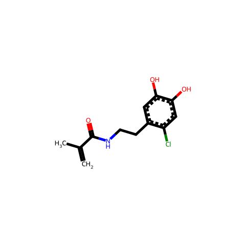 C=C(C)C(=O)NCCc1cc(O)c(O)cc1Cl